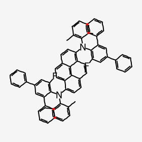 Cc1cccc(C)c1N(c1c(F)cc(-c2ccccc2)cc1-c1ccccc1)c1ccc2ccc3c(N(c4c(C)cccc4C)c4c(F)cc(-c5ccccc5)cc4-c4ccccc4)ccc4ccc1c2c43